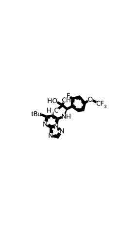 CC(C)(C)c1cc(N[C@H](c2ccc(OC(F)(F)F)cc2F)C(C)(C)O)n2ncnc2n1